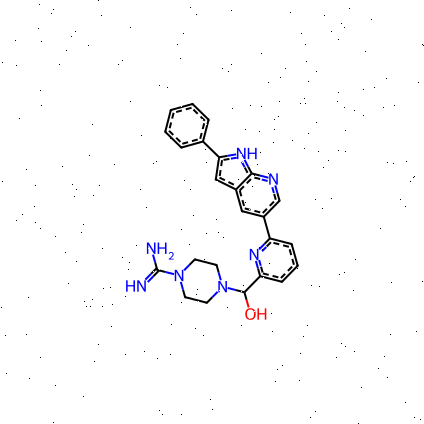 N=C(N)N1CCN(C(O)c2cccc(-c3cnc4[nH]c(-c5ccccc5)cc4c3)n2)CC1